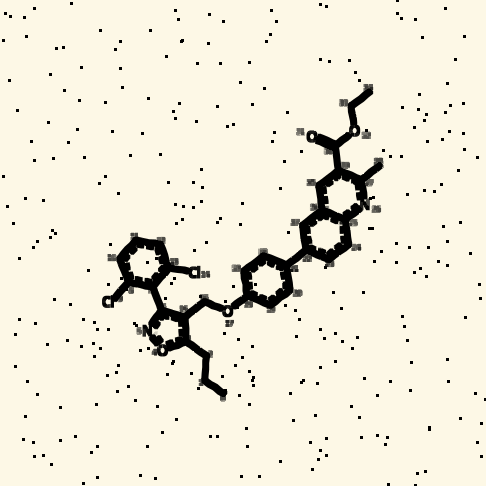 CCCc1onc(-c2c(Cl)cccc2Cl)c1COc1ccc(-c2ccc3nc(C)c(C(=O)OCC)cc3c2)cc1